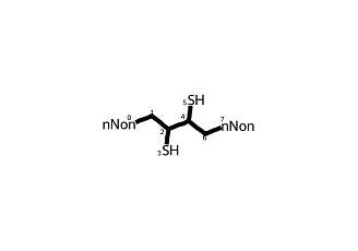 CCCCCCCCCCC(S)C(S)CCCCCCCCCC